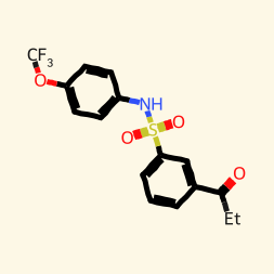 CCC(=O)c1cccc(S(=O)(=O)Nc2ccc(OC(F)(F)F)cc2)c1